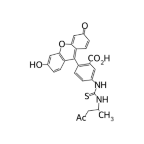 CC(=O)CC(C)NC(=S)Nc1ccc(-c2c3ccc(=O)cc-3oc3cc(O)ccc23)c(C(=O)O)c1